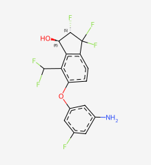 Nc1cc(F)cc(Oc2ccc3c(c2C(F)F)[C@@H](O)[C@H](F)C3(F)F)c1